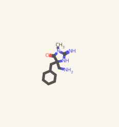 CN1C(=N)NC(CN)(CC2CCCCC2)C1=O